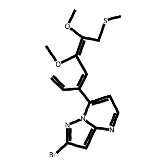 C=C/C(=C\C(OC)=C(/CSC)OC)c1ccnc2cc(Br)nn12